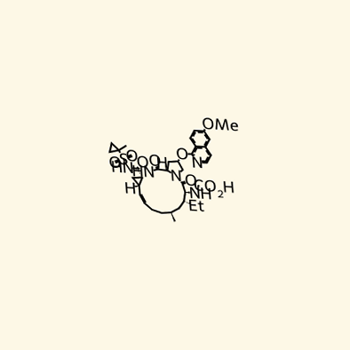 CC[C@@H]1C[C@@H](C)CCC=C[C@@H]2C[C@@]2(C(=O)NS(=O)(=O)C2(C)CC2)NC(=O)[C@@H]2C[C@@H](Oc3nccc4cc(OC)ccc34)CN2C(=O)[C@H]1NC(=O)O